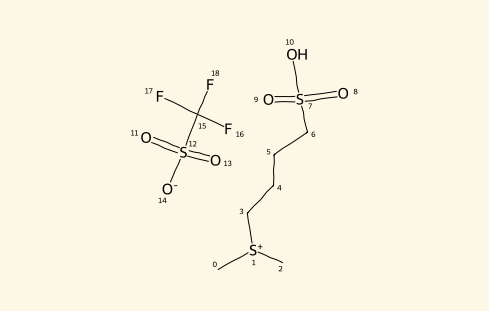 C[S+](C)CCCCS(=O)(=O)O.O=S(=O)([O-])C(F)(F)F